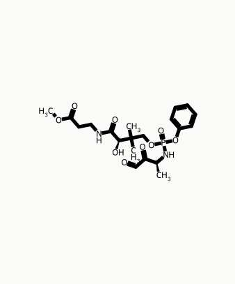 COC(=O)CCNC(=O)[C@H](O)C(C)(C)COP(=O)(N[C@@H](C)C(=O)C=O)Oc1ccccc1